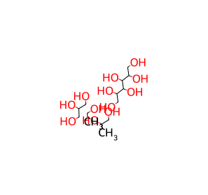 CC(O)CO.CCO.OCC(O)C(O)C(O)C(O)CO.OCC(O)CO